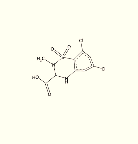 CN1C(C(=O)O)Nc2cc(Cl)cc(Cl)c2S1(=O)=O